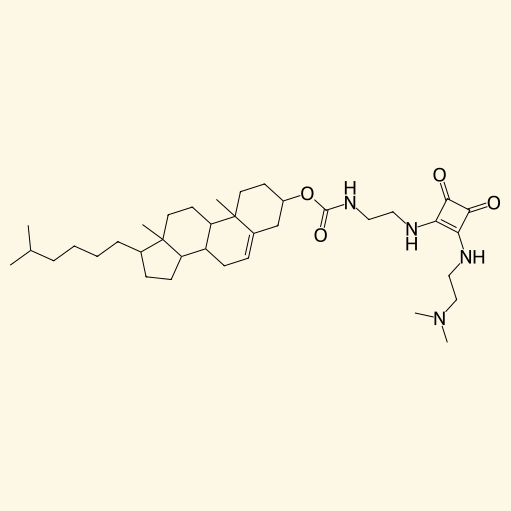 CC(C)CCCCC1CCC2C3CC=C4CC(OC(=O)NCCNc5c(NCCN(C)C)c(=O)c5=O)CCC4(C)C3CCC12C